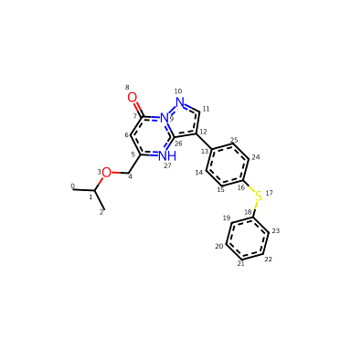 CC(C)OCc1cc(=O)n2ncc(-c3ccc(Sc4ccccc4)cc3)c2[nH]1